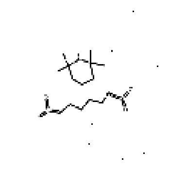 CC1(C)CCCC(C)(C)N1.O=S(=O)=CCCCCC=S(=O)=O